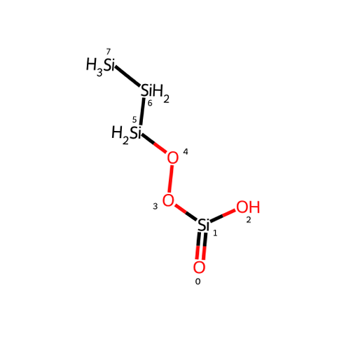 O=[Si](O)OO[SiH2][SiH2][SiH3]